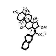 CC(=O)O[C@H]1C[C@@]2(C)[C@@H](C[C@@H](O)[C@@H]3[C@]2(C)CC[C@@]2(N)[C@H](C)[C@H](O)CC[C@]32C)/C1=C(/C(=O)O)c1ccc2ccccc2c1